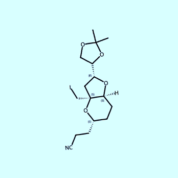 CC1(C)OCC([C@H]2C[C@]3(CI)O[C@@H](CCC#N)CC[C@@H]3O2)O1